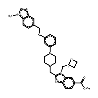 COC(=O)c1ccc2nc(CN3CCN(c4cccc(OCc5ccc6c(c5)ncn6C)n4)CC3)n(C[C@@H]3CCO3)c2c1